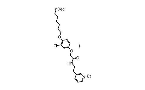 CCCCCCCCCCCCCCCCOc1ccc(OCC(=O)NCCc2ccc[n+](CC)c2)cc1Cl.[I-]